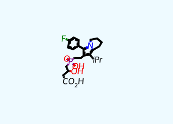 CC(C)c1c(CCP(=O)(O)CC(O)CC(=O)O)c(-c2ccc(F)cc2)n2c1CCCC2